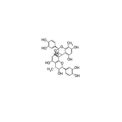 Cc1c(O)cc(O)c2c1O[C@@]1(c3ccc(O)c(O)c3)Oc3cc(O)c4c(c3C2[C@H]1O)O[C@@H](c1ccc(O)c(O)c1)[C@@H](O)[C@@H]4C